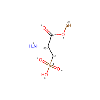 N[C@@H](CS(=O)(=O)O)C(=O)OS